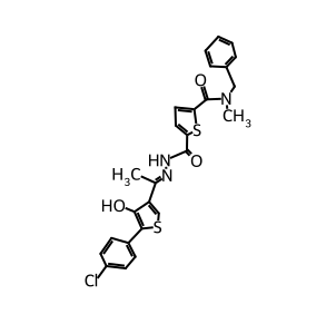 C/C(=N\NC(=O)c1ccc(C(=O)N(C)Cc2ccccc2)s1)c1csc(-c2ccc(Cl)cc2)c1O